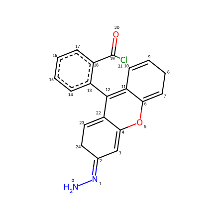 NN=C1C=C2OC3=CCC=CC3=C(c3ccccc3C(=O)Cl)C2=CC1